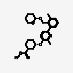 Cc1cccc(-c2ccc(O[C@H]3CCC[C@H](C(=O)OC(C)C)C3)c(C)n2)c1COC1CCCCO1